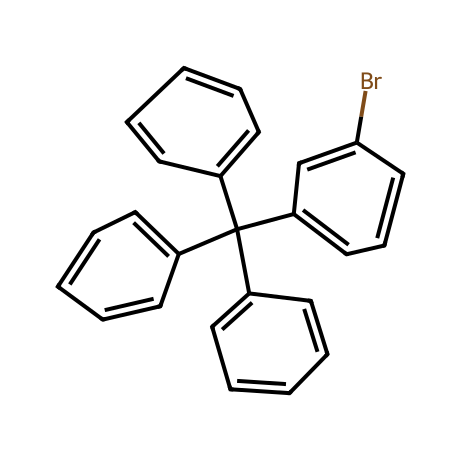 Brc1cccc(C(c2ccccc2)(c2ccccc2)c2ccccc2)c1